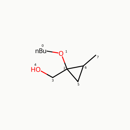 CCCCOC1(CO)CC1C